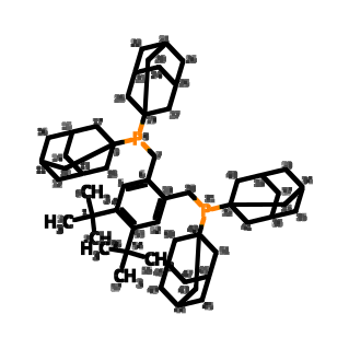 CC(C)(C)c1cc(CP(C23CC4CC(CC(C4)C2)C3)C23CC4CC(CC(C4)C2)C3)c(CP(C23CC4CC(CC(C4)C2)C3)C23CC4CC(CC(C4)C2)C3)cc1C(C)(C)C